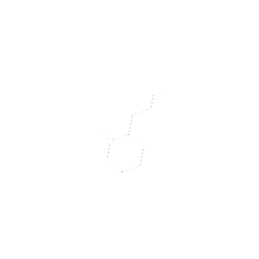 CC(C)CCC1CCCCN1C